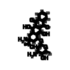 CC(O)[C@]1(N)Cc2c(O)c3c(c(O)c2[C@@H](O[C@H]2C[C@H](N)[C@@H](O)[C@H](C)O2)C1)C(=O)c1ccccc1C3=O